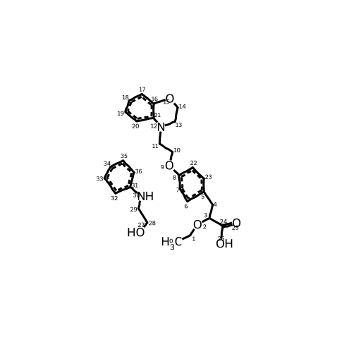 CCOC(Cc1ccc(OCCN2CCOc3ccccc32)cc1)C(=O)O.OCCNc1ccccc1